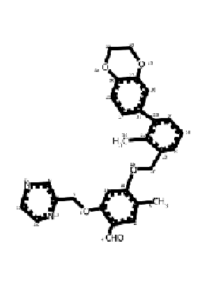 Cc1cc(C=O)c(OCc2cnccn2)cc1OCc1cccc(-c2ccc3c(c2)OCCO3)c1C